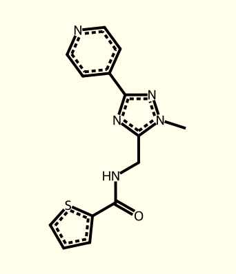 Cn1nc(-c2ccncc2)nc1CNC(=O)c1cccs1